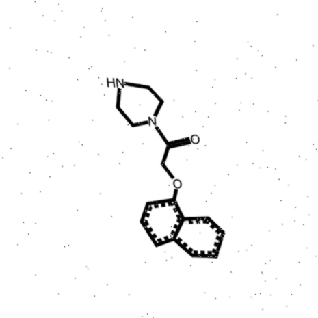 O=C(COc1cccc2ccccc12)N1CCNCC1